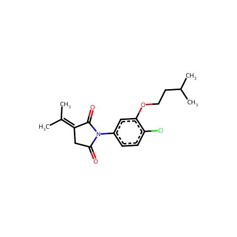 CC(C)=C1CC(=O)N(c2ccc(Cl)c(OCCC(C)C)c2)C1=O